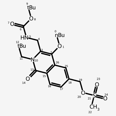 CCCCOc1c(CNC(=O)OC(C)(C)C)n(CC(C)(C)C)c(=O)c2ccc(COS(C)(=O)=O)cc12